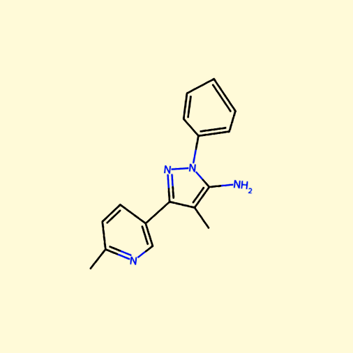 Cc1ccc(-c2nn(-c3ccccc3)c(N)c2C)cn1